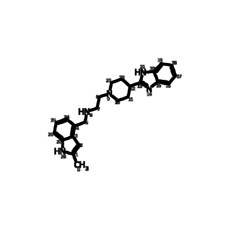 Cc1cc2c(CNCCN3CCC(c4nc5ccccc5[nH]4)CC3)cccc2[nH]1